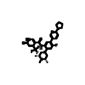 C[C@@H]1CN(c2cc(F)c(-c3ccc(N4CCCC4)nc3)cc2NC(=O)c2c[nH]c(=O)cc2C(F)(F)F)C[C@H](C)N1C